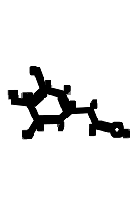 Cc1cc(C[C]=O)cc(C)c1C